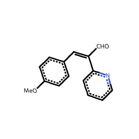 COc1ccc(C=C(C=O)c2ccccn2)cc1